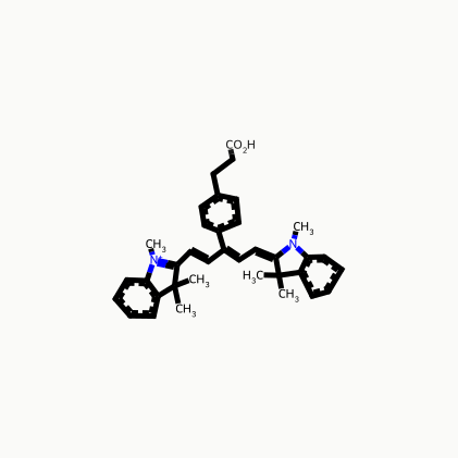 CN1/C(=C/C=C(/C=C/C2=[N+](C)c3ccccc3C2(C)C)c2ccc(CCC(=O)O)cc2)C(C)(C)c2ccccc21